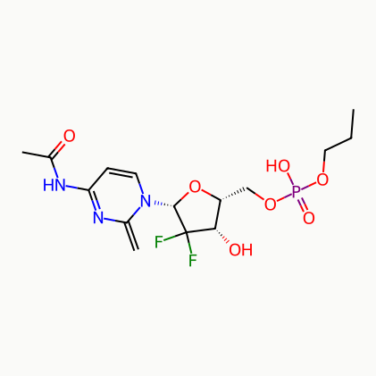 C=C1N=C(NC(C)=O)C=CN1[C@@H]1O[C@H](COP(=O)(O)OCCC)[C@H](O)C1(F)F